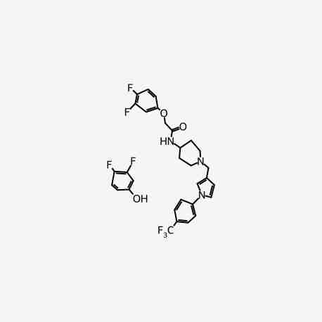 O=C(COc1ccc(F)c(F)c1)NC1CCN(Cc2ccn(-c3ccc(C(F)(F)F)cc3)c2)CC1.Oc1ccc(F)c(F)c1